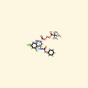 CC(C)(C)C(=O)OCOC(=O)[C@@H]1C[C@@H](NC(=O)Cc2ccccc2)c2c(Cl)cc(Cl)cc2N1